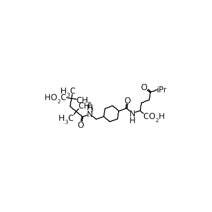 CC(C)C(=O)CCC(NC(=O)C1CCC(CNC(=O)C(C)(C)CC(C)(C)C(=O)O)CC1)C(=O)O